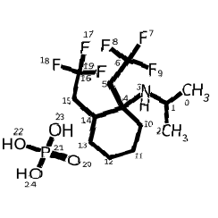 CC(C)NC1(CC(F)(F)F)CCCCC1CC(F)(F)F.O=P(O)(O)O